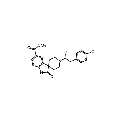 COC(=O)c1ccc2c(c1)C1(CCN(C(=O)Cc3ccc(Cl)cc3)CC1)C(=O)N2